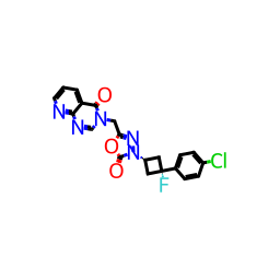 O=c1c2cccnc2ncn1Cc1nn([C@H]2C[C@](F)(c3ccc(Cl)cc3)C2)c(=O)o1